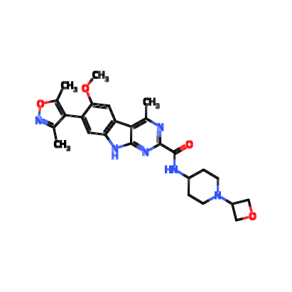 COc1cc2c(cc1-c1c(C)noc1C)[nH]c1nc(C(=O)NC3CCN(C4COC4)CC3)nc(C)c12